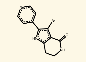 O=C1NCCc2[nH]c(-c3ccncc3)c(Br)c21